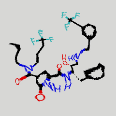 CCCN(CCCC(F)(F)F)C(=O)c1cc(C(=O)N[C@@H](Cc2ccccc2)[C@H](O)CNCc2cccc(C(F)(F)F)c2)[nH]c(=O)c1